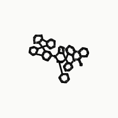 O=c1c2ccccc2c2cccc3c2n1-c1ccccc1C31c2ccccc2N(c2ccc3c(c2)C2(c4ccccc4-c4ccccc42)c2ccccc2-3)c2ccc(-c3ccccc3)cc21